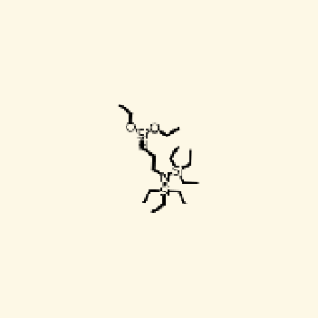 CCO[SiH](CCCN([Si](CC)(CC)CC)[Si](CC)(CC)CC)OCC